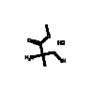 COC(=O)C(C)(N)CS.Cl